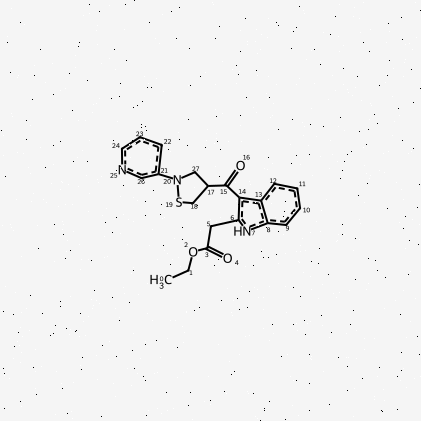 CCOC(=O)Cc1[nH]c2ccccc2c1C(=O)C1CSN(c2cccnc2)C1